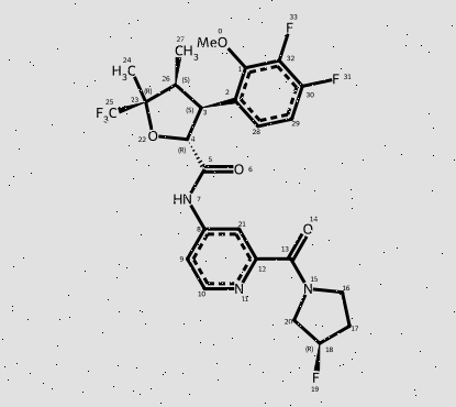 COc1c([C@H]2[C@H](C(=O)Nc3ccnc(C(=O)N4CC[C@@H](F)C4)c3)O[C@@](C)(C(F)(F)F)[C@H]2C)ccc(F)c1F